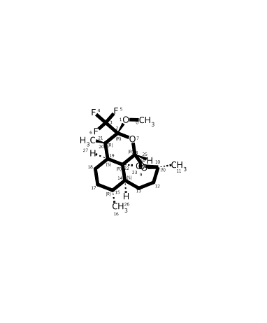 CO[C@@]1(C(F)(F)F)O[C@@H]2O[C@]3(C)CC[C@H]4[C@H](C)CC[C@@H]([C@H]1C)[C@@]24OO3